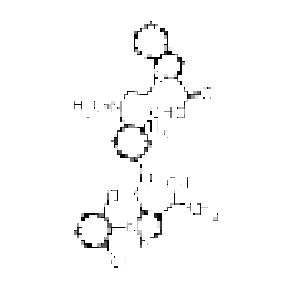 Cc1cc(OCc2c(C(C)C)cnn2-c2c(Cl)cccc2Cl)ccc1N(C)CCn1c(C(=O)O)cc2ccccc21